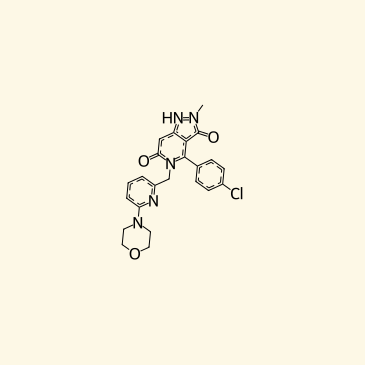 Cn1[nH]c2cc(=O)n(Cc3cccc(N4CCOCC4)n3)c(-c3ccc(Cl)cc3)c2c1=O